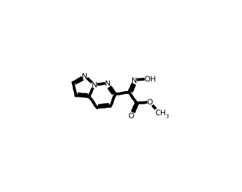 COC(=O)C(=NO)c1ccc2ccnn2n1